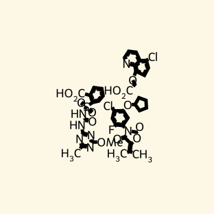 CC(C)=C1OC(=O)N(c2cc(OC3CCCC3)c(Cl)cc2F)C1=O.COc1nc(C)nc(NC(=O)NS(=O)(=O)c2ccccc2C(=O)O)n1.O=C(O)COc1ccc(Cl)c2cccnc12